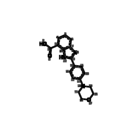 O=C(O)c1cccc2nc(-c3ccc(N4CCOCC4)cc3)[nH]c12